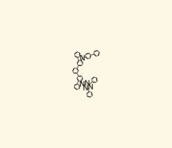 c1ccc(-c2ccc(-n3c4ccccc4c4cc(-c5cccc(-c6ccc7c(c6)c6ccccc6n7-c6nc(-c7ccccc7)nc(-c7ccccc7)n6)c5)ccc43)cc2)cc1